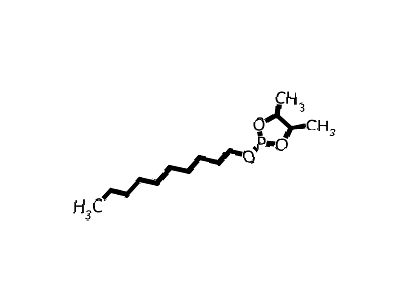 CCCCCCCCCCOP1OC(C)C(C)O1